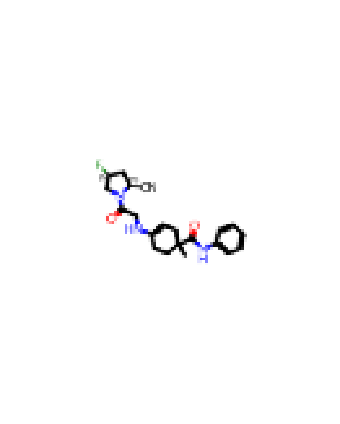 CC1(C(=O)Nc2ccccc2)CC=C(NCC(=O)N2C[C@@H](F)C[C@H]2C#N)CC1